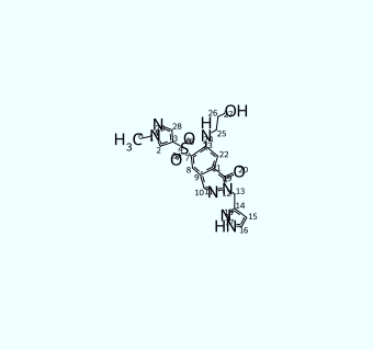 Cn1cc(S(=O)(=O)c2cc3cnn(Cc4cc[nH]n4)c(=O)c3cc2NCCO)cn1